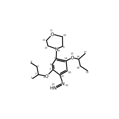 CCC(C)Oc1cc(N2CCOCC2)c(OC(C)CC)cc1N=N